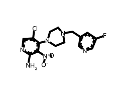 Nc1ncc(Cl)c(N2CCN(Cc3cncc(F)c3)CC2)c1[N+](=O)[O-]